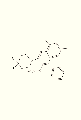 Cc1cc(Cl)cc2c(-c3ccccc3)c(OC(=O)O)c(N3CCC(F)(F)CC3)nc12